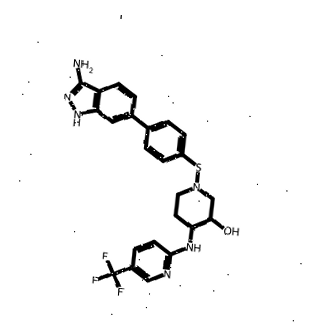 Nc1n[nH]c2cc(-c3ccc(SN4CCC(Nc5ccc(C(F)(F)F)cn5)C(O)C4)cc3)ccc12